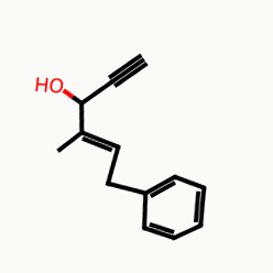 C#CC(O)/C(C)=C/Cc1ccccc1